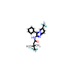 CC(C)(CC(=O)Nc1nc2ccc(C(F)(F)F)cn2c1-c1ccccc1)C(F)(F)F